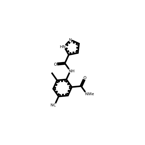 CNC(=O)c1cc(C#N)cc(C)c1NC(=O)c1ccn[nH]1